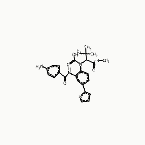 CNC(=O)C(N(C(=O)O)c1ccc(-c2cccs2)cc1NC(=O)c1ccc(N)cc1)C(C)(C)C